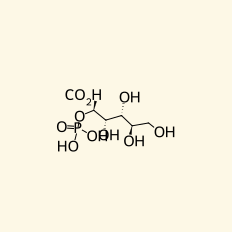 O=C(O)[C@H](OP(=O)(O)O)[C@@H](O)[C@H](O)[C@H](O)CO